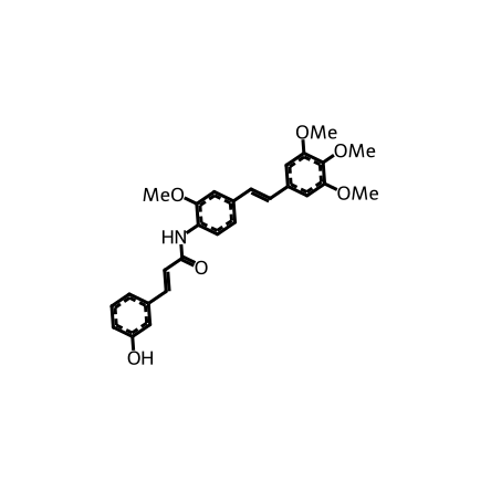 COc1cc(C=Cc2cc(OC)c(OC)c(OC)c2)ccc1NC(=O)/C=C/c1cccc(O)c1